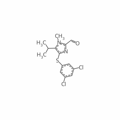 CC(C)c1c(Sc2cc(Cl)cc(Cl)c2)nc(C=O)n1C